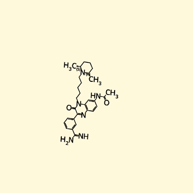 CC(=O)Nc1ccc2nc(-c3cccc(C(=N)N)c3)c(=O)n(CCCCCN3[C@H](C)CCC[C@@H]3C)c2c1